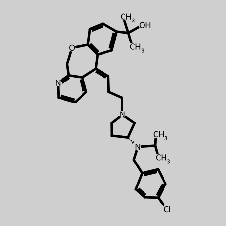 CC(C)N(Cc1ccc(Cl)cc1)[C@@H]1CCN(CC/C=C2/c3cc(C(C)(C)O)ccc3OCc3ncccc32)C1